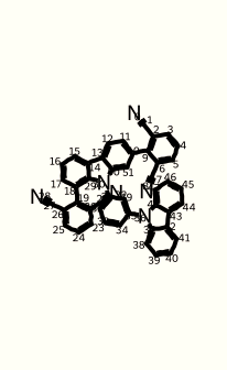 N#Cc1cccc(C#N)c1-c1ccc2c3cccc(-c4c(C#N)cccc4C#N)c3n(-c3cccc(-n4c5ccccc5c5ccccc54)c3)c2c1